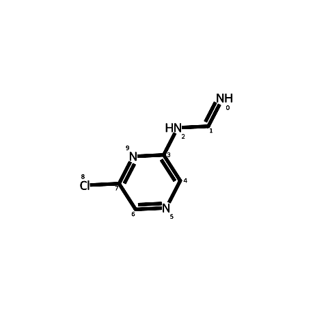 N=CNc1cncc(Cl)n1